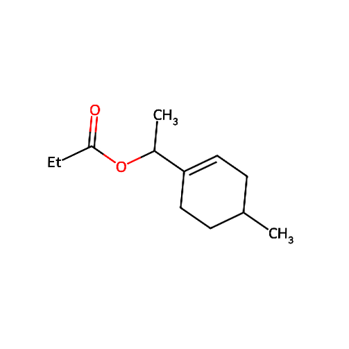 CCC(=O)OC(C)C1=CCC(C)CC1